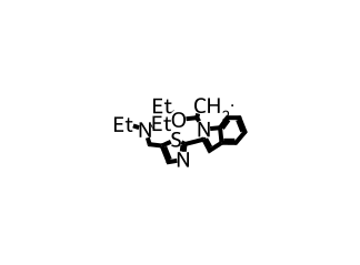 [CH2]C(OCC)n1c(-c2ncc(CN(CC)CC)s2)cc2ccccc21